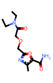 CCN(CC)C(=O)COCc1nc(C)c(C(N)=O)o1